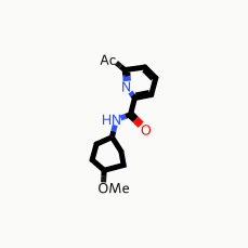 COC1CCC(NC(=O)c2cccc(C(C)=O)n2)CC1